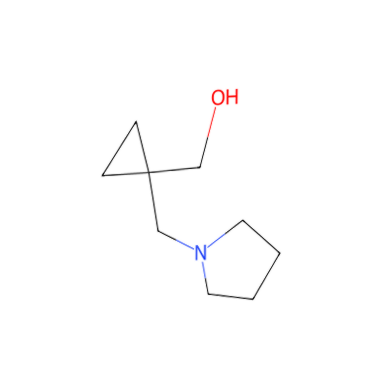 OCC1(CN2CCCC2)CC1